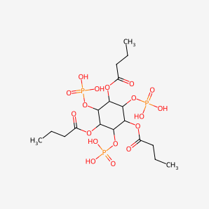 CCCC(=O)OC1C(OP(=O)(O)O)C(OC(=O)CCC)C(OP(=O)(O)O)C(OC(=O)CCC)C1OP(=O)(O)O